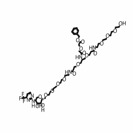 O=C(CCOCC(COCCC(=O)NCCOCCOCCOCCOC[C@H]1OC[C@H](Nc2nccc(C(F)(F)F)n2)[C@@H](O)[C@H]1O)NC(=O)COCC(=O)OCc1ccccc1)NCCOCCOCCOCCO